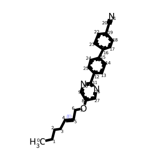 CCCC/C=C/COc1cnc(-c2ccc(-c3ccc(C#N)cc3)cc2)nc1